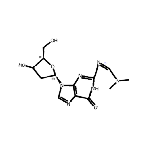 CN(C)/C=N\c1nc2c(ncn2[C@H]2CC(O)[C@@H](CO)O2)c(=O)[nH]1